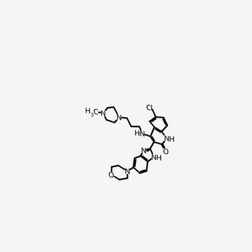 CN1CCN(CCCNc2c(-c3nc4cc(N5CCOCC5)ccc4[nH]3)c(=O)[nH]c3ccc(Cl)cc23)CC1